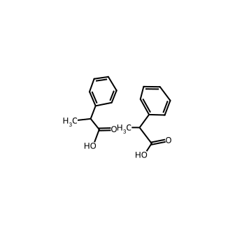 CC(C(=O)O)c1ccccc1.CC(C(=O)O)c1ccccc1